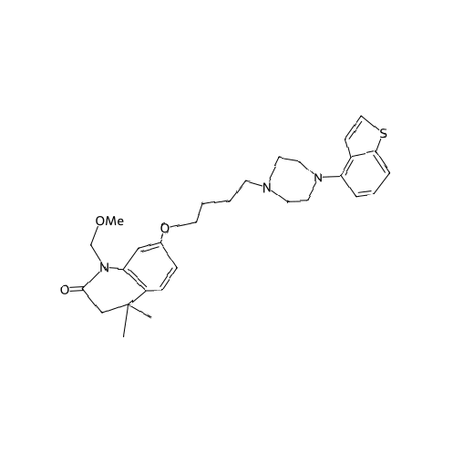 COCN1C(=O)CC(C)(C)c2ccc(OCCCCN3CCN(c4cccc5sccc45)CC3)cc21